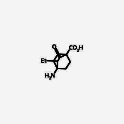 CCC1C(=O)C2(C(=O)O)CCC1(N)CC2